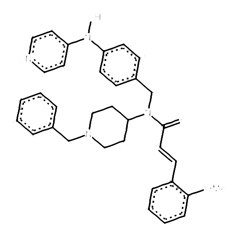 COc1ccccc1/C=C/C(=O)N(Cc1ccc(N(C)c2ccncc2)cc1)C1CCN(Cc2ccccc2)CC1